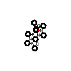 c1ccc2c(c1)Oc1cc3c4c5c1B2c1ccccc1N5c1ccccc1B4c1cc2c(cc1N3c1ccccc1-n1c3ccccc3c3ccccc31)oc1ccccc12